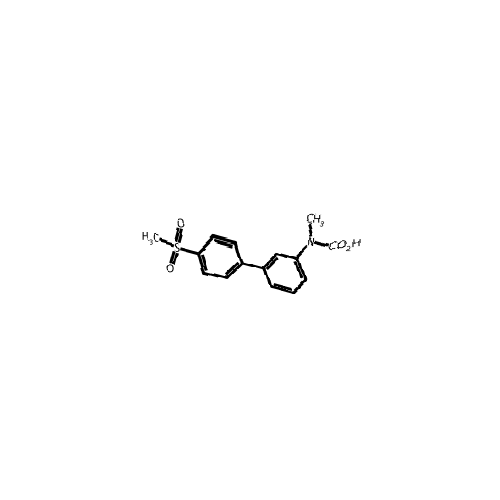 CN(C(=O)O)c1cccc(-c2ccc(S(C)(=O)=O)cc2)c1